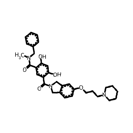 CN(Cc1ccccc1)C(=O)c1cc(C(=O)N2Cc3ccc(OCCCN4CCCCC4)cc3C2)c(O)cc1O